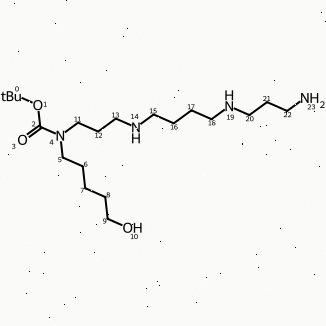 CC(C)(C)OC(=O)N(CCCCCO)CCCNCCCCNCCCN